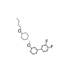 CCCCO[C@H]1CC[C@H](COc2[c]ccc(-c3ccc(F)c(F)c3)c2)CC1